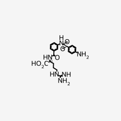 N=C(N)NCCC[C@H](NC(=O)c1cccc(NS(=O)(=O)c2ccc(N)cc2)c1)C(=O)O